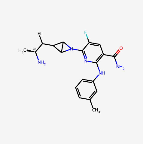 CCC(C1C2C1N2c1nc(Nc2cccc(C)c2)c(C(N)=O)cc1F)[C@H](C)N